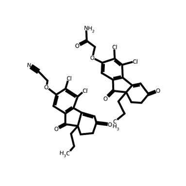 CCCC12CCC(=O)C=C1c1c(cc(OCC#N)c(Cl)c1Cl)C2=O.CCCC12CCC(=O)C=C1c1c(cc(OCC(N)=O)c(Cl)c1Cl)C2=O